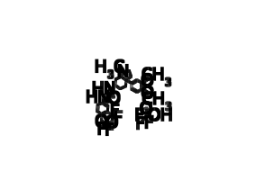 COc1ccc(C23CCC(NC(=O)Nc4ccc5c(c4)C(F)(F)OC(F)(F)O5)CC2N(C)CC3)cc1OC.O=C(O)C(F)(F)F